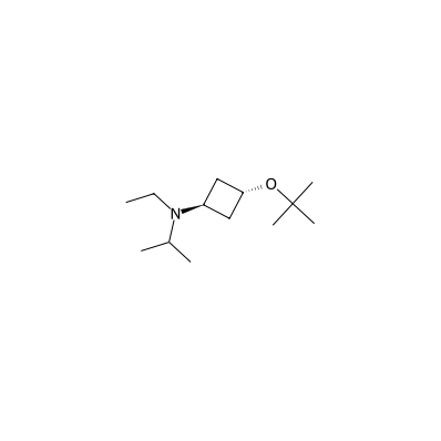 CCN(C(C)C)[C@H]1C[C@H](OC(C)(C)C)C1